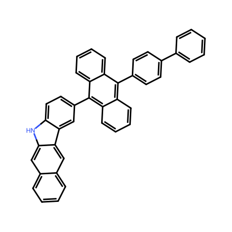 c1ccc(-c2ccc(-c3c4ccccc4c(-c4ccc5[nH]c6cc7ccccc7cc6c5c4)c4ccccc34)cc2)cc1